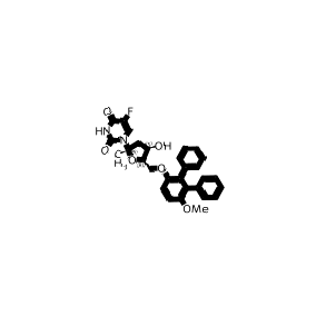 COc1ccc(OC[C@H]2O[C@@](C)(n3cc(F)c(=O)[nH]c3=O)C[C@@H]2O)c(-c2ccccc2)c1-c1ccccc1